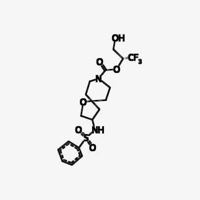 O=C(O[C@H](CO)C(F)(F)F)N1CCC2(CC1)CC(NS(=O)(=O)c1ccccc1)CO2